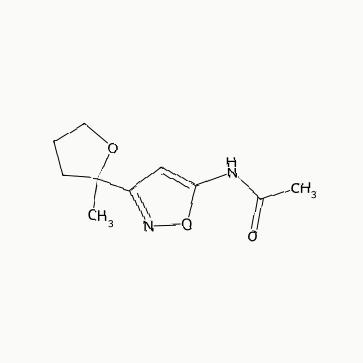 CC(=O)Nc1cc(C2(C)CCCO2)no1